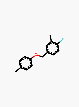 Cc1ccc(OCc2ccc(F)c(C)c2)cc1